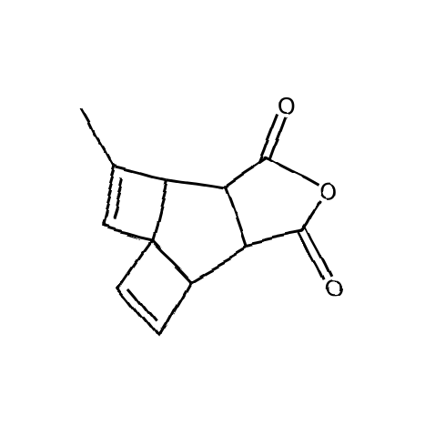 CC1=CC23C=CC2C2C(=O)OC(=O)C2C13